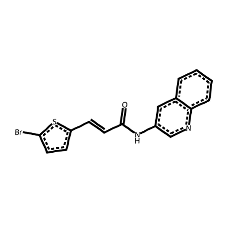 O=C(/C=C/c1ccc(Br)s1)Nc1cnc2ccccc2c1